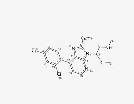 CCC(COC)n1c(OC)nc2c(-c3ccc(Cl)cc3Cl)ccnc21